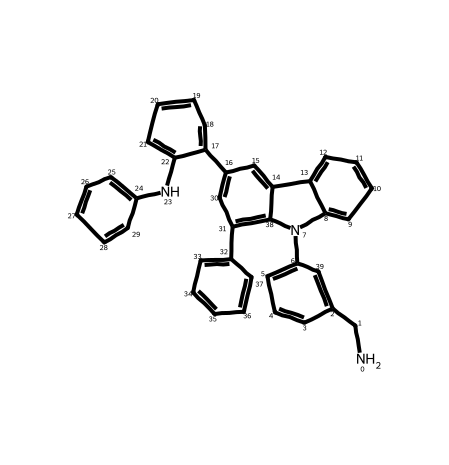 NCc1cccc(-n2c3ccccc3c3cc(-c4ccccc4Nc4ccccc4)cc(-c4ccccc4)c32)c1